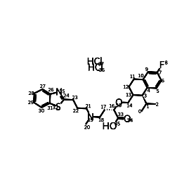 CC(C)[C@@H]1c2ccc(F)cc2CCC1CO[C@@H](CCN(C)CCCc1nc2ccccc2s1)C(=O)O.Cl.Cl